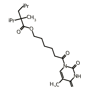 Cc1cn(C(=O)CCCCCOC(=O)C(C)(CC(C)C)C(C)C)c(=O)[nH]c1=O